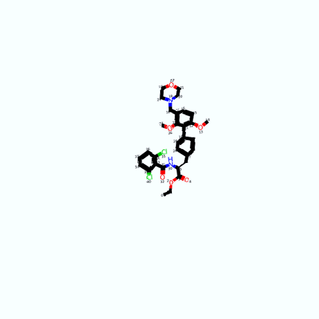 CCOC(=O)[C@H](Cc1ccc(-c2c(OC)ccc(CN3CCOCC3)c2OC)cc1)NC(=O)c1c(Cl)cccc1Cl